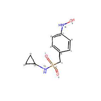 O=S(=O)(Cc1ccc(NO)cc1)NC1CC1